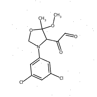 COC1(C)OCN(c2cc(Cl)cc(Cl)c2)C1C(=O)C=O